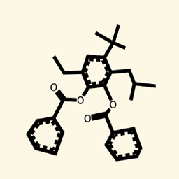 CCc1cc(C(C)(C)C)c(CC(C)C)c(OC(=O)c2ccccc2)c1OC(=O)c1ccccc1